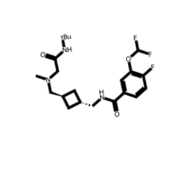 CN(CC(=O)NC(C)(C)C)C[C@H]1C[C@H](CNC(=O)c2ccc(F)c(OC(F)F)c2)C1